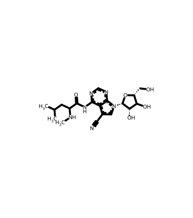 CNC(CC(C)C)C(=O)Nc1ncnc2c1c(C#N)cn2[C@@H]1O[C@H](CO)C(O)[C@@H]1O